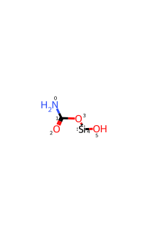 NC(=O)O[Si]O